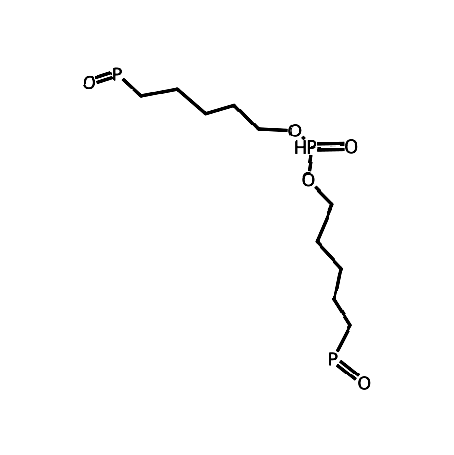 O=PCCCCCO[PH](=O)OCCCCCP=O